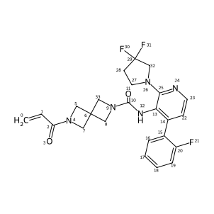 C=CC(=O)N1CC2(C1)CN(C(=O)Nc1c(-c3ccccc3F)ccnc1N1CCC(F)(F)C1)C2